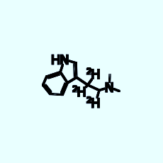 [2H]C(N(C)C)C([2H])([2H])c1c[nH]c2ccccc12